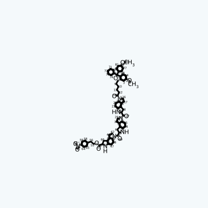 COc1ccc(C(OCCCCCC(=O)n2ccc3c4c(ccc32)NC(C(=O)n2ccc3c5c(ccc32)NC(C(=O)n2ccc3c6c(ccc32)NC(C(=O)OCCc2ccc([N+](=O)[O-])cc2)C6)C5)C4)(c2ccccc2)c2ccc(OC)cc2)cc1